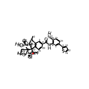 CCc1cc(C(=O)Nc2cc(-c3cccs3)ccc2N)ccc1C(CC)(CC)C(CC)(P(=O)(O)O)P(=O)(O)O